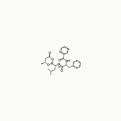 CC(C)CC(NC(=O)C(Cc1ccccc1)NC(=O)c1cnccn1)B1OC(=O)C[C@H](C)O1